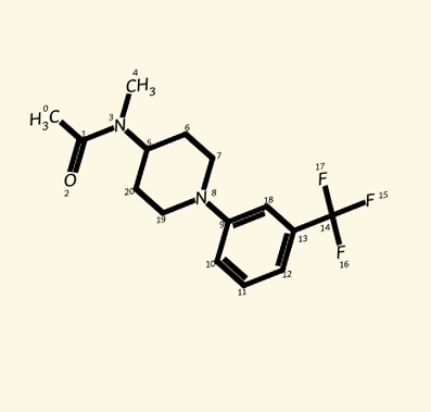 CC(=O)N(C)C1CCN(c2cccc(C(F)(F)F)c2)CC1